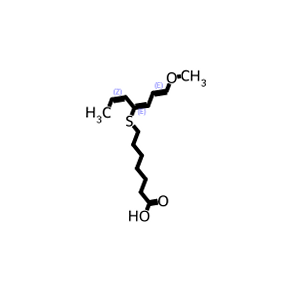 C\C=C/C(=C\C=C\OC)SCCCCCCC(=O)O